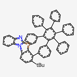 CC(C)(C)c1ccc2c(sc3nc4ccccc4n32)c1-c1cccc(-c2c(-c3ccccc3)c(-c3ccccc3)c(-c3ccccc3)c(-c3ccccc3)c2-c2ccccc2)c1